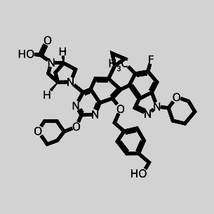 Cc1c(F)cc2c(cnn2C2CCCCO2)c1-c1c(C2CC2)cc2c(N3C[C@@H]4C[C@H]3CN4C(=O)O)nc(OC3CCOCC3)nc2c1OCc1ccc(CO)cc1